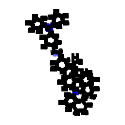 CC1(C)c2cc(/C=C/c3ccc(N(c4ccccc4)c4ccccc4)cc3)ccc2-c2ccc(N(c3cccc4c3CCC=C4)c3cccc4ccccc34)cc21